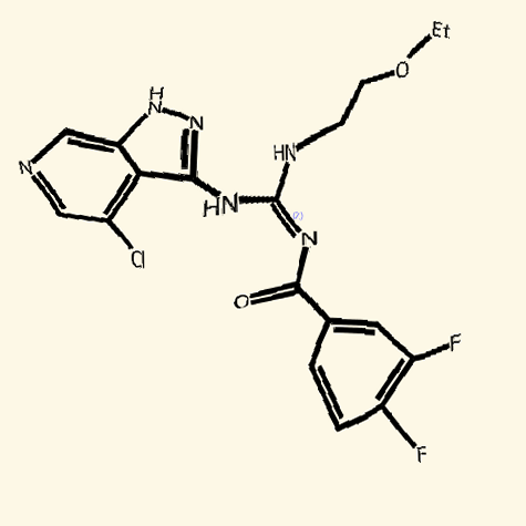 CCOCCN/C(=N/C(=O)c1ccc(F)c(F)c1)Nc1n[nH]c2cncc(Cl)c12